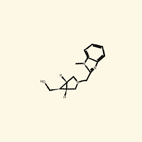 Cn1c(CN2C[C@@H]3[C@@H](CO)[C@@H]3C2)nc2ccccc21